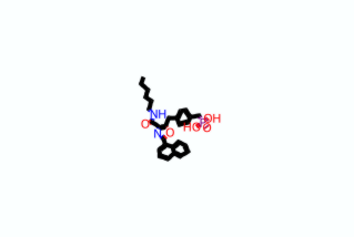 CCCCCCNC(=O)c1nc(-c2cccc3ccccc23)oc1Cc1ccc(CP(=O)(O)O)cc1